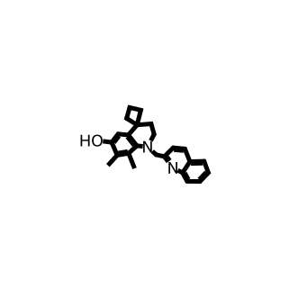 Cc1c(O)cc2c(c1C)N(Cc1ccc3ccccc3n1)CCC21CCC1